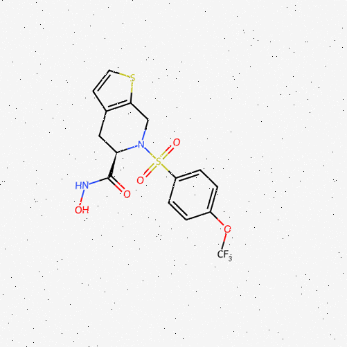 O=C(NO)[C@H]1Cc2ccsc2CN1S(=O)(=O)c1ccc(OC(F)(F)F)cc1